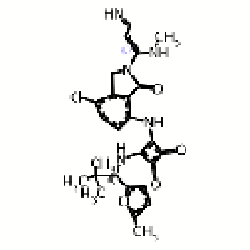 CN/C(=C\C=N)N1Cc2c(Cl)ccc(Nc3c(N[C@@H](c4ccc(C)o4)C(C)(C)C)c(=O)c3=O)c2C1=O